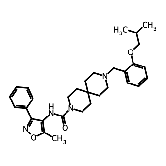 Cc1onc(-c2ccccc2)c1NC(=O)N1CCC2(CCN(Cc3ccccc3OCC(C)C)CC2)CC1